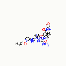 C=CC(=O)N1CCC[C@H](n2cc(Nc3ncc(C(N)=O)c(Nc4c(C)cc(C(=O)NC5CCOCC5)cc4OC)n3)cn2)C1